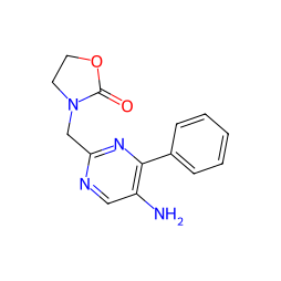 Nc1cnc(CN2CCOC2=O)nc1-c1ccccc1